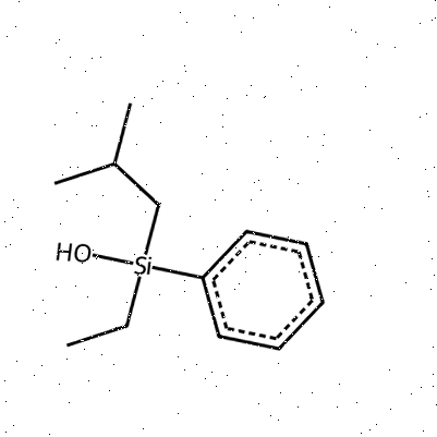 CC[Si](O)(CC(C)C)c1ccccc1